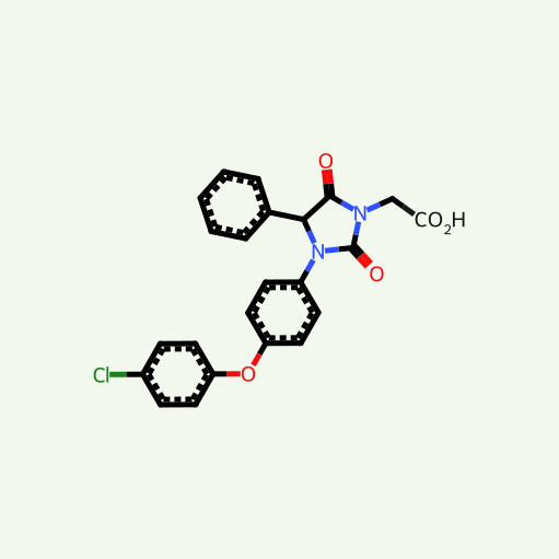 O=C(O)CN1C(=O)C(c2ccccc2)N(c2ccc(Oc3ccc(Cl)cc3)cc2)C1=O